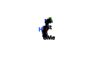 CCC1C(CCn2cnc3cc(F)c(F)cc32)C1C(C)C(=O)Nc1ccc(-c2ccc(OC)nc2)cc1